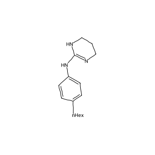 CCCCCCc1ccc(NC2=NCCCN2)cc1